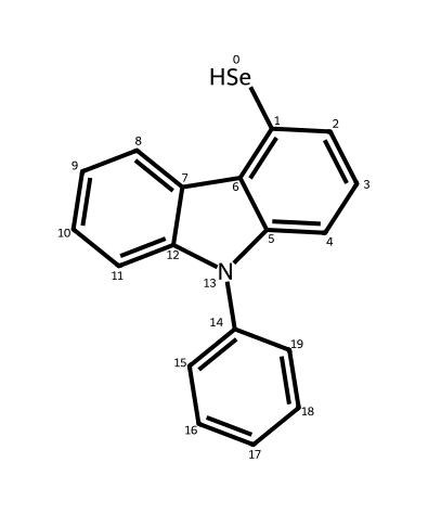 [SeH]c1cccc2c1c1ccccc1n2-c1ccccc1